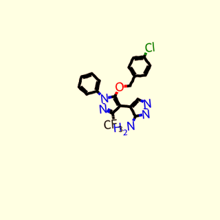 NC1N=NC=C1c1c(C(F)(F)F)nn(-c2ccccc2)c1OCc1ccc(Cl)cc1